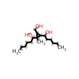 CCCCCC(O)C1C(CO)C1(C)C(O)CCCCC